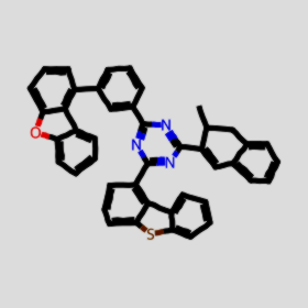 CC1Cc2ccccc2C=C1c1nc(-c2cccc(-c3cccc4oc5ccccc5c34)c2)nc(-c2cccc3sc4ccccc4c23)n1